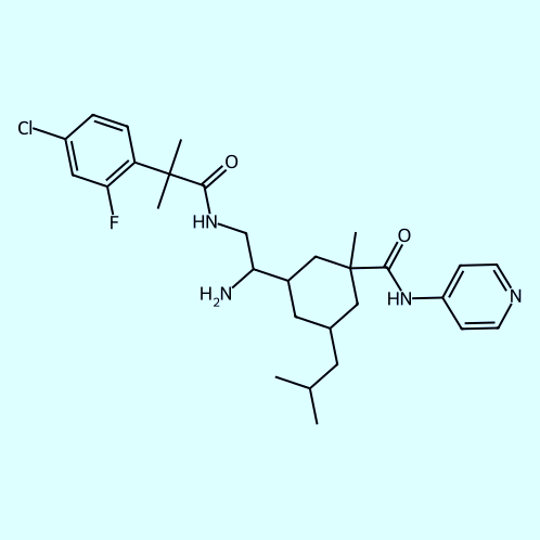 CC(C)CC1CC(C(N)CNC(=O)C(C)(C)c2ccc(Cl)cc2F)CC(C)(C(=O)Nc2ccncc2)C1